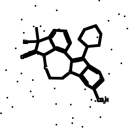 CCC1(C)C(=O)N2CCCn3c(c(C4CCCCC4)c4ccc(C(=O)O)cc43)-c3cccc1c32